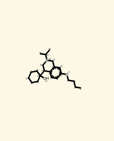 CCCCOc1ccc2c(c1)CN(C(C)C)CC2C1(O)CCCCC1